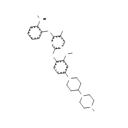 COc1cc(N2CCC(N3CCN(C)CC3)CC2)ccc1Nc1ncc(Cl)c(Nc2ccccc2[N+](=O)[O-])n1